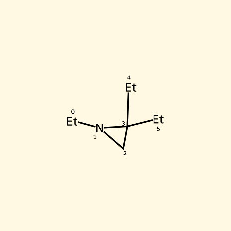 CCN1CC1(CC)CC